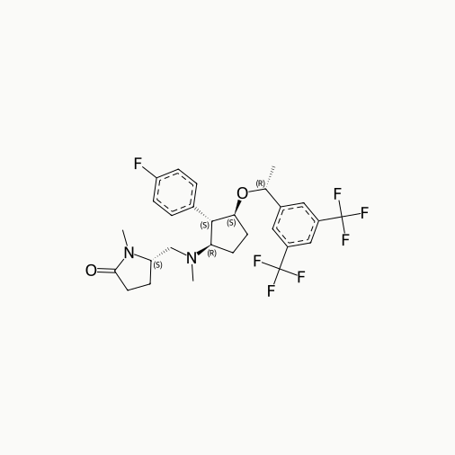 C[C@@H](O[C@H]1CC[C@@H](N(C)C[C@@H]2CCC(=O)N2C)[C@@H]1c1ccc(F)cc1)c1cc(C(F)(F)F)cc(C(F)(F)F)c1